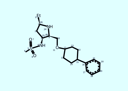 CC[C@@H]1C[C@H](NS(C)(=O)=O)[C@H](COC2CCC(c3ccccc3)CC2)N1